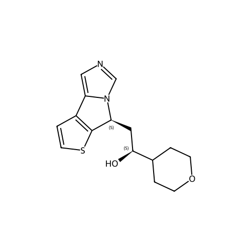 O[C@@H](C[C@H]1c2sccc2-c2cncn21)C1CCOCC1